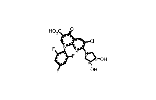 O=C(O)c1cn(-c2c(F)cc(F)cc2F)c2nc(N3C[C@@H](O)[C@H](O)C3)c(Cl)cc2c1=O